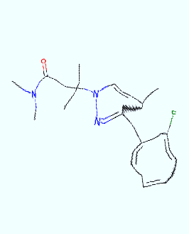 Cc1cn(C(C)(C)C(=O)N(C)C)nc1-c1ccccc1F